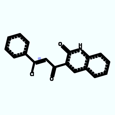 O=C(/C=C(\Cl)c1ccccc1)c1cc2ccccc2[nH]c1=O